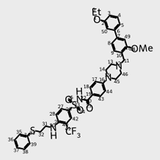 CCOc1cccc(-c2ccc(CN3CCN(c4ccc(C(=O)NS(=O)(=O)c5ccc(NCCSc6ccccc6)c(C(F)(F)F)c5)cc4)CC3)c(OC)c2)c1